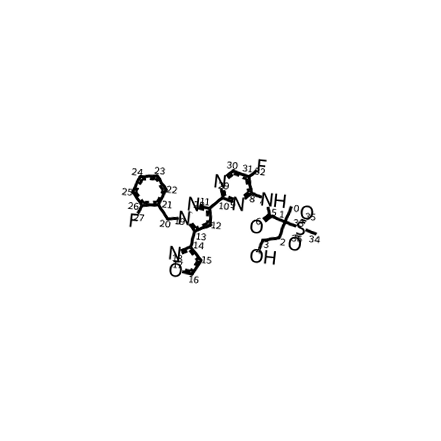 CC(CCO)(C(=O)Nc1nc(-c2cc(-c3ccon3)n(Cc3ccccc3F)n2)ncc1F)S(C)(=O)=O